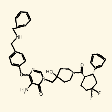 Nc1c(Oc2ccc(CNCc3ccccc3)cc2)ncn(CC2(O)CCN(C(=O)[C@@H]3CCC(F)(F)C[C@H]3c3ccccc3)CC2)c1=O